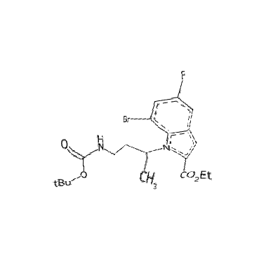 CCOC(=O)c1cc2cc(F)cc(Br)c2n1C(C)CCNC(=O)OC(C)(C)C